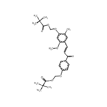 COc1cc(OCOC(=O)C(C)(C)C)c(C)cc1C=CC(=O)c1ccc(OCOC(=O)C(C)(C)C)cc1